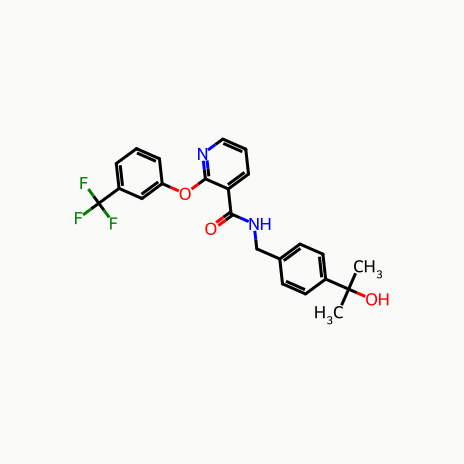 CC(C)(O)c1ccc(CNC(=O)c2cccnc2Oc2cccc(C(F)(F)F)c2)cc1